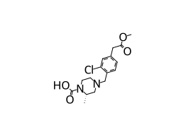 COC(=O)Cc1ccc(CN2CCN(C(=O)O)[C@@H](C)C2)c(Cl)c1